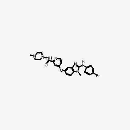 CN1CCN(NC(=O)c2cc(Oc3ccc4c(c3)nc(Nc3ccc(Br)cc3)n4C)ccn2)CC1